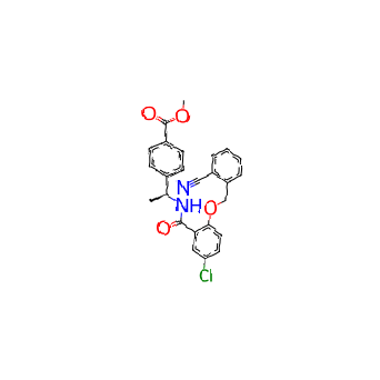 COC(=O)c1ccc([C@H](C)NC(=O)c2cc(Cl)ccc2OCc2ccccc2C#N)cc1